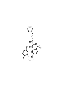 O=C(NCCCc1ccccc1)Nc1nc(N2CCCC2c2cc(F)ccc2F)ccc1[N+](=O)[O-]